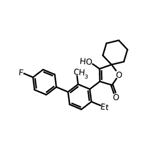 CCc1ccc(-c2ccc(F)cc2)c(C)c1C1=C(O)C2(CCCCC2)OC1=O